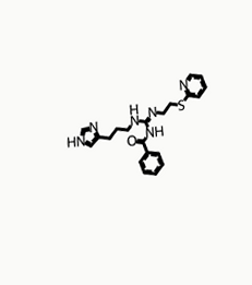 O=C(NC(=NCCSc1ccccn1)NCCCc1c[nH]cn1)c1ccccc1